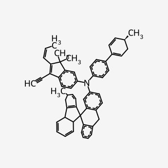 C#CC1=C(/C=C\C)C(C)(C)c2cc(N(c3ccc(C4=CC[C@H](C)C=C4)cc3)c3ccc4c(c3)C3(C5=C(CC(C)C=C5)C5C=CC=CC53)c3ccccc3C4)ccc21